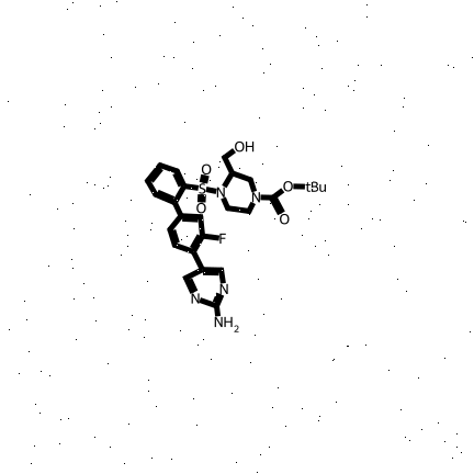 CC(C)(C)OC(=O)N1CCN(S(=O)(=O)c2ccccc2-c2ccc(-c3cnc(N)nc3)c(F)c2)C(CO)C1